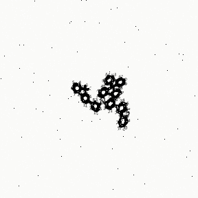 CC1(C)c2ccccc2-c2ccc(-c3cccc(N(c4ccc(-c5ccc6sc7ccccc7c6c5)cc4)c4cccc5c4-c4ccccc4C5(c4ccccc4)c4ccccc4)c3)cc21